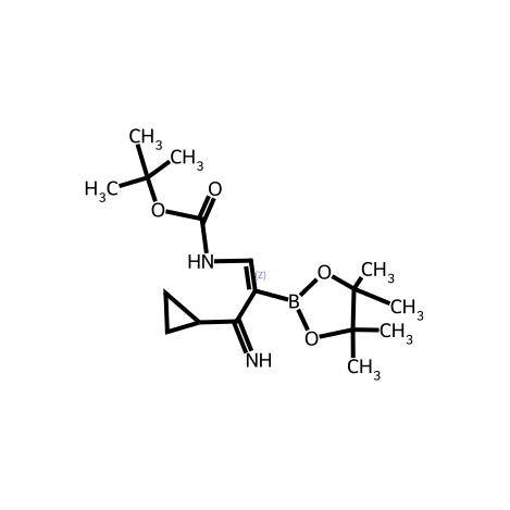 CC(C)(C)OC(=O)N/C=C(/B1OC(C)(C)C(C)(C)O1)C(=N)C1CC1